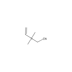 C=C[Si](C)(C)CC#N